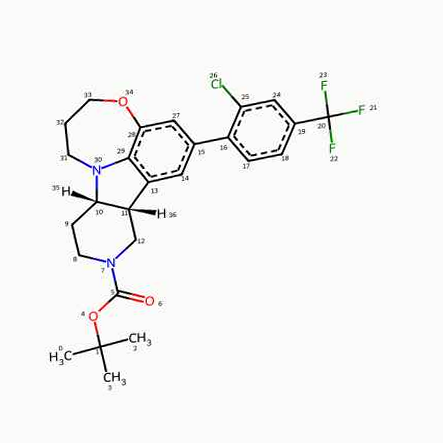 CC(C)(C)OC(=O)N1CC[C@H]2[C@@H](C1)c1cc(-c3ccc(C(F)(F)F)cc3Cl)cc3c1N2CCCO3